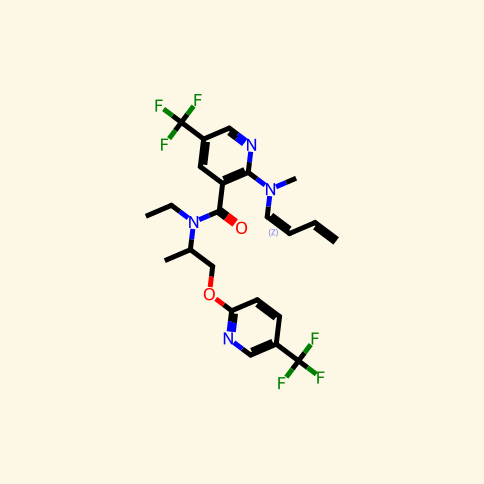 C=C/C=C\N(C)c1ncc(C(F)(F)F)cc1C(=O)N(CC)C(C)COc1ccc(C(F)(F)F)cn1